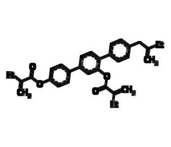 C=C(CC)Cc1ccc(-c2ccc(-c3ccc(OC(=O)C(=C)CC)cc3)cc2OC(=O)C(=C)CC)cc1